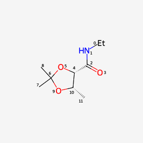 CCNC(=O)[C@H]1OC(C)(C)O[C@H]1C